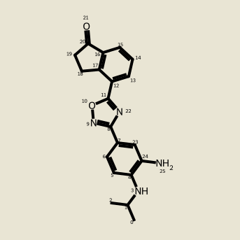 CC(C)Nc1ccc(-c2noc(-c3cccc4c3CCC4=O)n2)cc1N